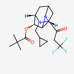 CC(C)(C)C(=O)O[C@@H]1C2[C@H]3CC(C[C@@H]1N3CC1CC1)CN2C(=O)CC(F)(F)F